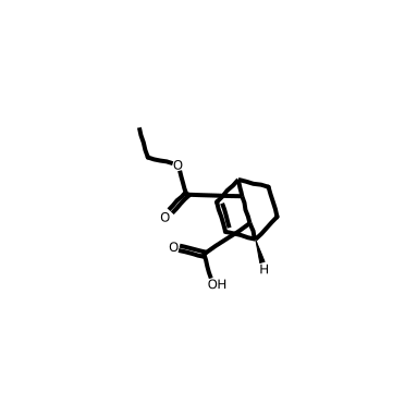 CCOC(=O)C1C2C=C[C@@H](CC2)C1C(=O)O